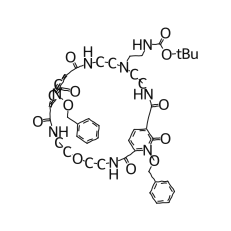 CC(C)(C)OC(=O)NCCN1CCNC(=O)c2ccc(n(OCc3ccccc3)c2=O)C(=O)NCCOCCNC(=O)c2ccc(c(=O)n2OCc2ccccc2)C(=O)NCC1